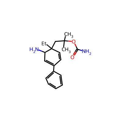 CCC1(CC(C)(C)OC(N)=O)C=CC(c2ccccc2)=CC1N